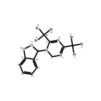 BrC(Br)(Br)C1=NCN(C2OOc3ccccc32)C(C(Br)(Br)Br)=N1